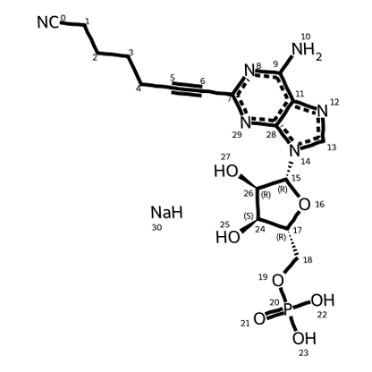 N#CCCCCC#Cc1nc(N)c2ncn([C@@H]3O[C@H](COP(=O)(O)O)[C@@H](O)[C@H]3O)c2n1.[NaH]